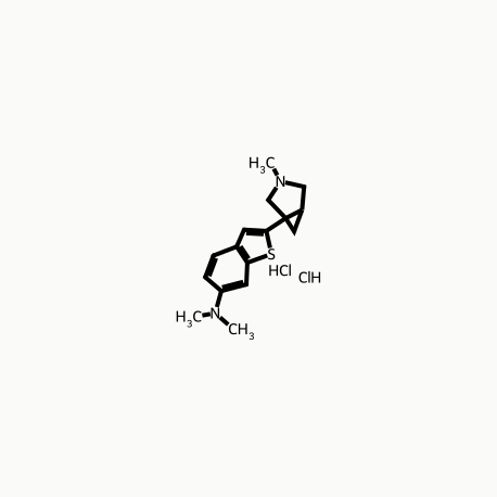 CN1CC2CC2(c2cc3ccc(N(C)C)cc3s2)C1.Cl.Cl